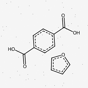 O=C(O)c1ccc(C(=O)O)cc1.c1ccoc1